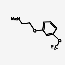 CNCCOc1cccc(OC(F)(F)F)c1